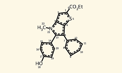 CCOC(=O)c1cc2c(s1)c(-c1ccccc1)c(-c1ccc(O)cc1)n2C